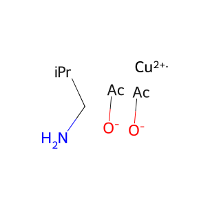 CC(=O)[O-].CC(=O)[O-].CC(C)CN.[Cu+2]